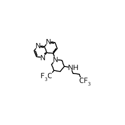 FC(F)(F)CCNC1CC(C(F)(F)F)CN(c2ccnc3nccnc23)C1